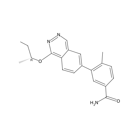 CC[C@@H](C)Oc1nncc2cc(-c3cc(C(N)=O)ccc3C)ccc12